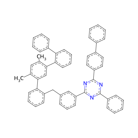 Cc1cc(C)c(-c2ccccc2-c2ccccc2)cc1-c1ccccc1Cc1cccc(-c2nc(-c3ccccc3)nc(-c3ccc(-c4ccccc4)cc3)n2)c1